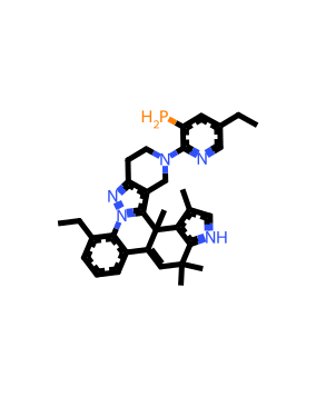 CCc1cnc(N2CCc3nn4c(c3C2)C2(C)C(=CC(C)(C)c3[nH]cc(C)c32)c2cccc(CC)c2-4)c(P)c1